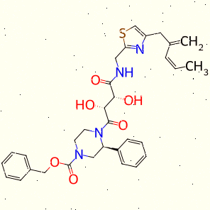 C=C(/C=C\C)Cc1csc(CNC(=O)[C@H](O)[C@@H](O)C(=O)N2CCN(C(=O)OCc3ccccc3)C[C@@H]2c2ccccc2)n1